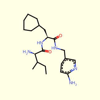 CCC(C)[C@@H](N)C(=O)N[C@@H](CC1CCCCC1)C(=O)NCc1ccc(N)nc1